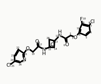 O=C(COc1ccc(Cl)c(F)c1)NC12CC(NC(=O)COc3ccc(Cl)cn3)(C1)C2